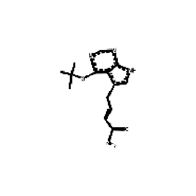 CC(C)(C)Oc1ncnc2[nH]cc(CC=CC(N)=O)c12